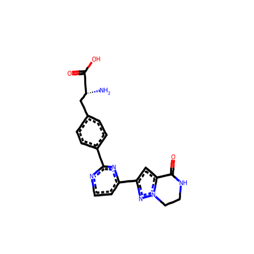 N[C@H](Cc1ccc(-c2nccc(-c3cc4n(n3)CCNC4=O)n2)cc1)C(=O)O